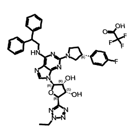 CCn1nnc([C@H]2O[C@@H](n3cnc4c(NCC(c5ccccc5)c5ccccc5)nc(N5CC[C@H](c6ccc(F)cc6)C5)nc43)[C@H](O)[C@@H]2O)n1.O=C(O)C(F)(F)F